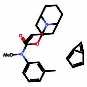 C=CCN1C2CCCC1CC(OC(=O)N(OC)c1cccc(C)c1)C2.c1cc2cc-2c1